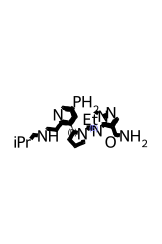 CC/C(=N\c1c(C(N)=O)cnn1C)N1CCC[C@@H]1c1cc(P)cnc1CCNCC(C)C